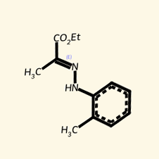 CCOC(=O)/C(C)=N/Nc1ccccc1C